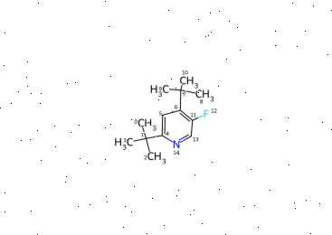 CC(C)(C)c1cc(C(C)(C)C)c(F)cn1